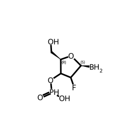 B[C@@H]1O[C@H](CO)C(O[PH](=O)O)C1F